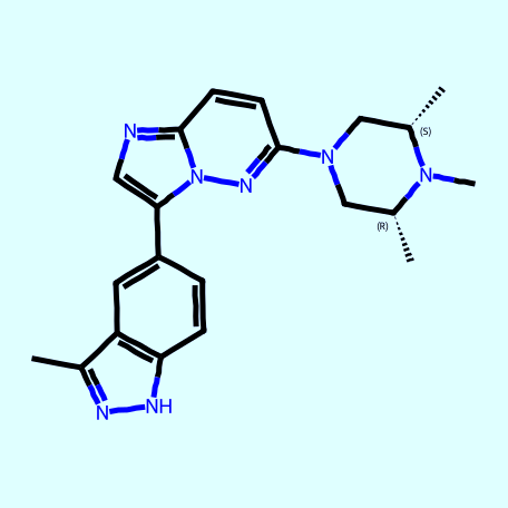 Cc1n[nH]c2ccc(-c3cnc4ccc(N5C[C@@H](C)N(C)[C@@H](C)C5)nn34)cc12